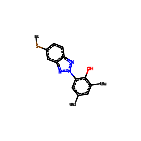 CCSc1ccc2nn(-c3cc(C(C)(C)C)cc(C(C)(C)C)c3O)nc2c1